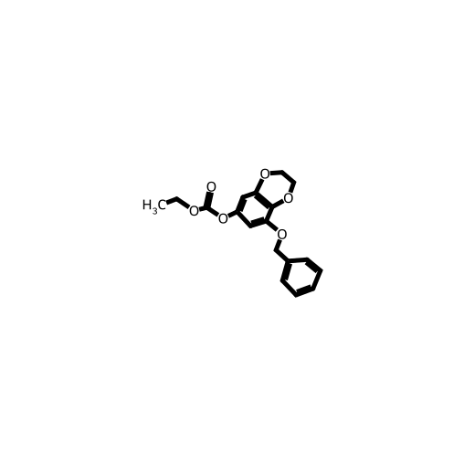 CCOC(=O)Oc1cc2c(c(OCc3ccccc3)c1)OCCO2